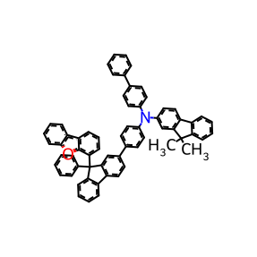 CC1(C)c2ccccc2-c2ccc(N(c3ccc(-c4ccccc4)cc3)c3ccc(-c4ccc5c(c4)C(c4ccccc4)(c4cccc6c4oc4ccccc46)c4ccccc4-5)cc3)cc21